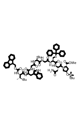 CC[C@H](C)[C@H](C)[C@H](NC(=O)OCC1c2ccccc2-c2ccccc21)C(=O)NC(Cc1c[nH]c2ccccc12)C(=O)NCC(=O)N[C@H](C(=O)NCC(=O)N[C@@H](CSC(c1ccccc1)(c1ccccc1)c1ccccc1)C(=O)N[C@@H](CC(N)=O)C(=O)N1C[C@H](O[Si](C)(C)C(C)(C)C)C[C@H]1C(=O)OC)C(C)(C)C